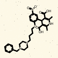 CC1=C(C(=O)O)C(c2cc([N+](=O)[O-])ccc2OCCCCN2CCN(Cc3ccccc3)CC2)C(C(=O)O)=C(C)N1